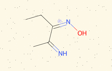 CC/C(=N/O)C(C)=N